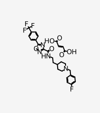 O=C(NCCC1CCN(Cc2ccc(F)cc2)CC1)c1noc(-c2ccc(C(F)(F)F)cc2)n1.O=C(O)C=CC(=O)O